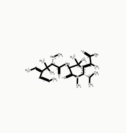 C/C=C\C(=C/C)C(C)(C)[C@H](NC)C(=O)NC(C(=O)N(C)[C@H](/C=C(\C)C(=O)O)C(C)C)C(C)(C)C